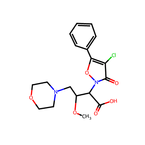 COC(CN1CCOCC1)C(C(=O)O)n1oc(-c2ccccc2)c(Cl)c1=O